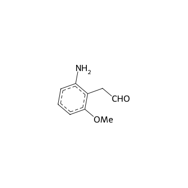 COc1cccc(N)c1CC=O